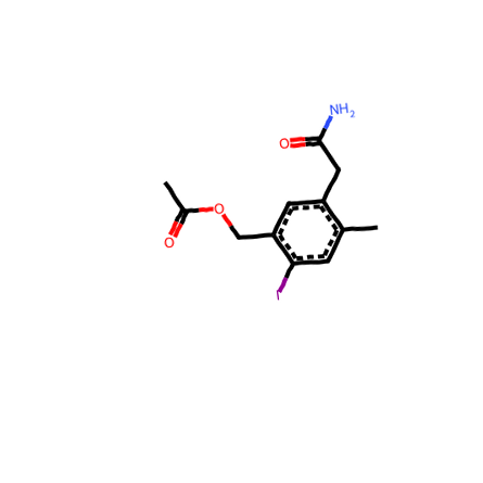 CC(=O)OCc1cc(CC(N)=O)c(C)cc1I